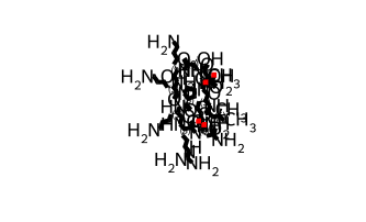 CC[C@H](C)[C@H](NC(=O)[C@H](CC(N)=O)NC(=O)[C@H](CCCN=C(N)N)NC(=O)[C@H](CCCCN)NC(=O)[C@@H]1CCCN1C(=O)[C@H](CCCCN)NC(=O)[C@H](CCCCN)NC(=O)[C@H](CO)NC(=O)[C@H](C)N)C(=O)N[C@@H](CCCCN)C(=O)N[C@@H](C)C(=O)O